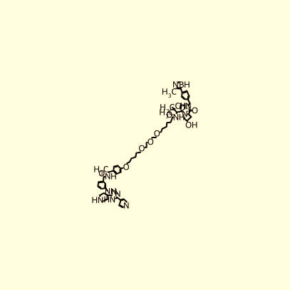 CC1=C(c2ccc(CNC(=O)C3CC(O)CN3C(=O)C(NC(=O)CCCCCOCCOCCOCCCCCCOc3ccc([C@@H](C)NC(=O)c4cccc(NC5(c6nnc(-c7ccncc7)[nH]6)CCNCC5)c4)cc3)C(C)(C)C)cc2)BC=N1